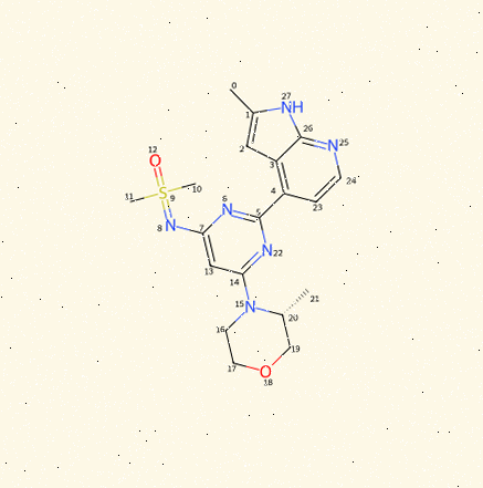 Cc1cc2c(-c3nc(N=S(C)(C)=O)cc(N4CCOC[C@H]4C)n3)ccnc2[nH]1